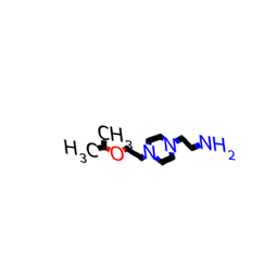 CC(C)OCCN1CCN(CCN)CC1